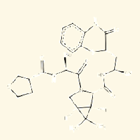 CC(C)(C)[C@H](NC(=O)[C@@H]1CCOC1)C(=O)N1C[C@H]2[C@@H]([C@H]1C(=O)N[C@H](C#N)C[C@@H]1Oc3ccccc3NC1=O)C2(C)C